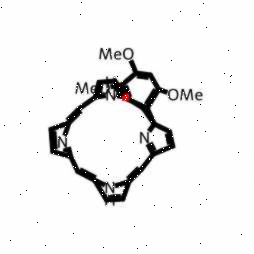 COc1cc(OC)c(C23C=CC(=N2)C=c2ccc([nH]2)=CC2=NC(=Cc4ccc([nH]4)C3)C=C2)cc1OC